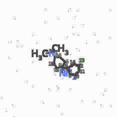 CN(C)C1CCC(N)(c2cccc(F)c2)CC1